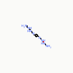 NCCNCCNCC/N=C/c1ccc(/C=N/CCNCCNCCN)cc1